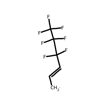 [CH2]C=CC(F)(F)C(F)(F)C(F)(F)F